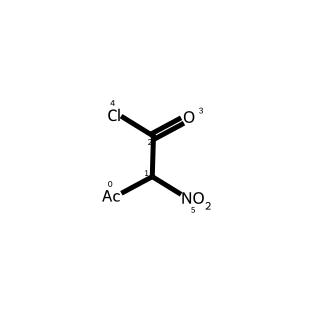 CC(=O)C(C(=O)Cl)[N+](=O)[O-]